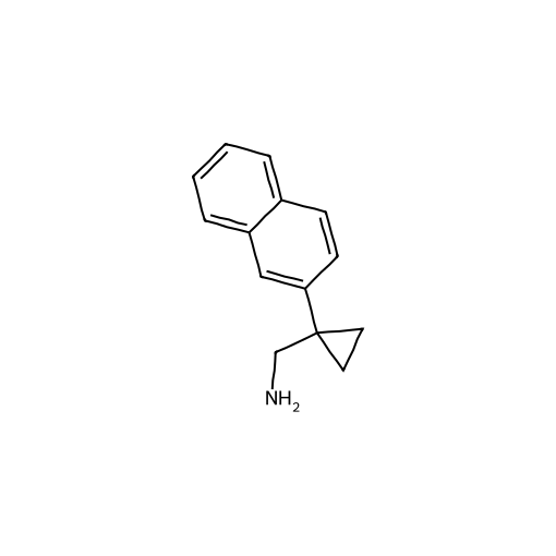 NCC1(c2ccc3ccccc3c2)CC1